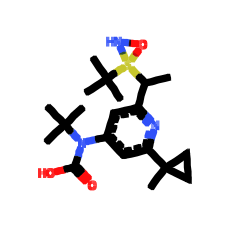 CC(c1cc(N(C(=O)O)C(C)(C)C)cc(C2(C)CC2)n1)S1(C(C)(C)C)NO1